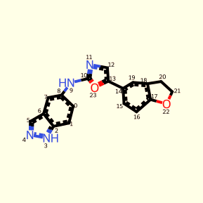 c1cc2[nH]ncc2cc1Nc1ncc(-c2ccc3c(c2)CCO3)o1